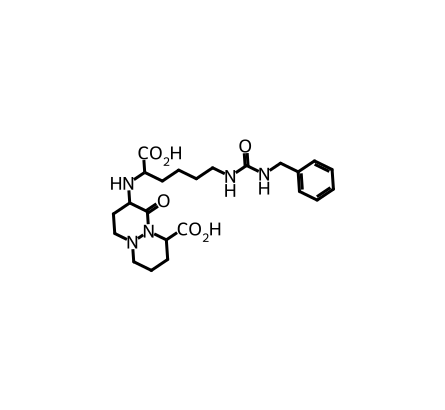 O=C(NCCCCC(NC1CCN2CCCC(C(=O)O)N2C1=O)C(=O)O)NCc1ccccc1